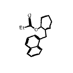 CCC(=O)OC1CCCCC1Cc1cccc2ccccc12